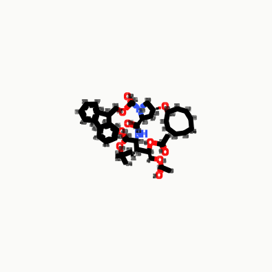 CC(=O)OC[C@H](OC(C)=O)[C@H](C)[C@H](NC(=O)[C@@H]1C[C@@H](OC2CCCCCCCC2)CN1C(=O)OCC1c2ccccc2-c2ccccc21)C(=O)OC(C)(C)C